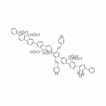 CCCCCCCCC1(CCCCCCCC)c2cc(-c3ccccc3)ccc2-c2ccc(-c3ccc4c(c3)C(CCCCCCCC)(CCCCCCCC)c3cc(-c5cc(/C=C/c6ccncc6)c(-c6ccc7c(c6)C(CCCCCCCC)(CCCCCCCC)c6cc(-c8ccc(-c9ccccc9)c9nonc89)ccc6-7)cc5/C=C/c5ccncc5)ccc3-4)cc21